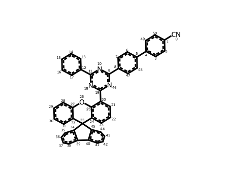 N#Cc1ccc(-c2ccc(-c3nc(-c4ccccc4)nc(-c4cccc5c4Oc4ccccc4C54c5ccccc5-c5ccccc54)n3)cc2)cc1